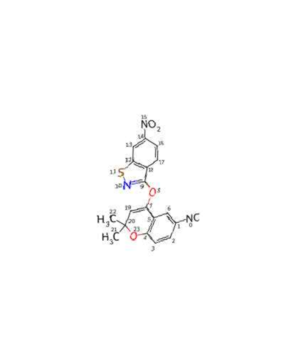 [C-]#[N+]c1ccc2c(c1)C(Oc1nsc3cc([N+](=O)[O-])ccc13)=CC(C)(C)O2